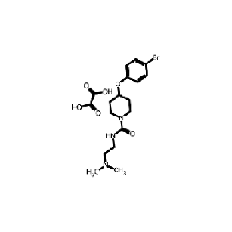 CN(C)CCNC(=O)N1CCC(Oc2ccc(Br)cc2)CC1.O=C(O)C(=O)O